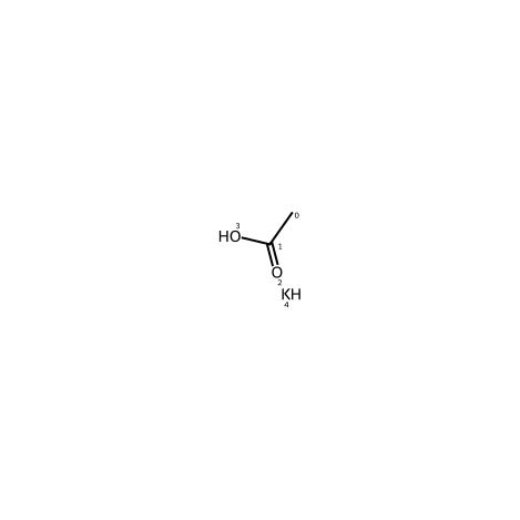 CC(=O)O.[KH]